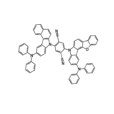 N#Cc1cc(-n2c3ccc(N(c4ccccc4)c4ccccc4)cc3c3c4oc5ccccc5c4ccc32)c(C#N)cc1-n1c2ccc(N(c3ccccc3)c3ccccc3)cc2c2c3ccccc3ccc21